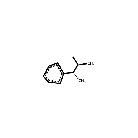 C[C@H](I)[C@H](C)c1ccccc1